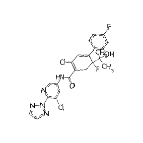 CC(C)(O)C1(F)CC(C(=O)Nc2cnc(-n3nccn3)c(Cl)c2)=C(Cl)C=C1c1ccc(F)cc1